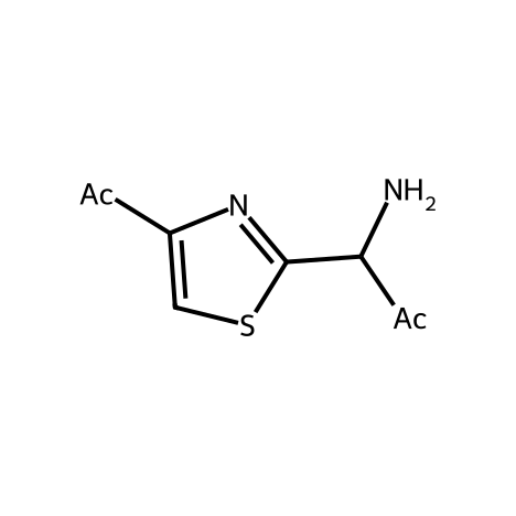 CC(=O)c1csc(C(N)C(C)=O)n1